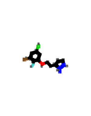 Fc1c(Br)cc(Cl)cc1OCCc1ccn[nH]1